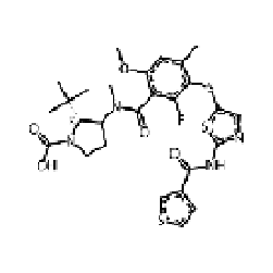 COc1cc(C)c(Sc2cnc(NC(=O)c3ccsc3)s2)c(F)c1C(=O)N(C)C1CCN(C(=O)O)[C@@H]1C(C)(C)C